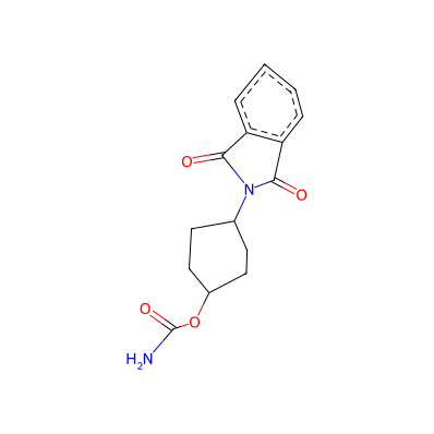 NC(=O)OC1CCC(N2C(=O)c3ccccc3C2=O)CC1